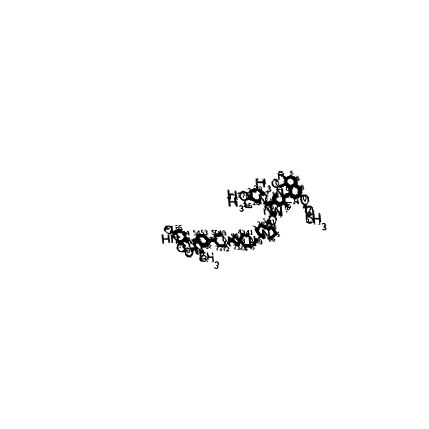 CCc1c(F)ccc2cc(OCOC)cc(-c3ncc4c(N5CCC[C@@](C)(O)C5)nc(OC[C@@]56CCCN5[C@H](CN5CCC7(CC5)CC(N5CCC(c8ccc9c(c8)n(C)c(=O)n9C8CCC(=O)NC8=O)CC5)C7)CC6)nc4c3F)c12